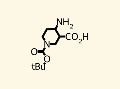 CC(C)(C)OC(=O)N1CCC(N)C(C(=O)O)C1